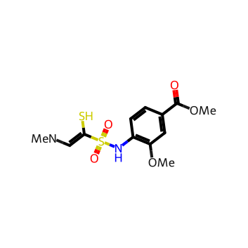 CN/C=C(\S)S(=O)(=O)Nc1ccc(C(=O)OC)cc1OC